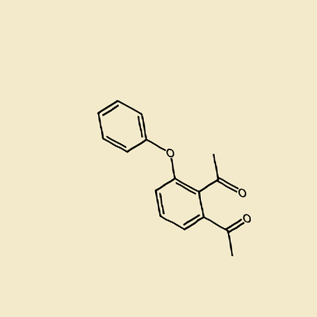 CC(=O)c1cccc(Oc2ccccc2)c1C(C)=O